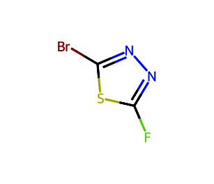 Fc1nnc(Br)s1